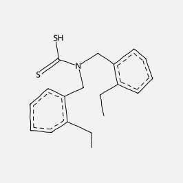 CCc1ccccc1CN(Cc1ccccc1CC)C(=S)S